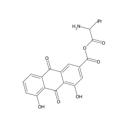 CC(C)C(N)C(=O)OC(=O)c1cc(O)c2c(c1)C(=O)c1cccc(O)c1C2=O